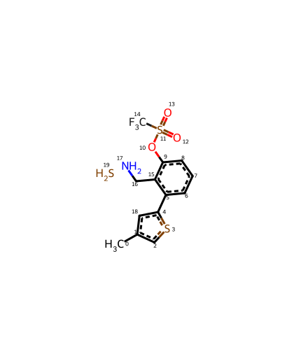 Cc1csc(-c2cccc(OS(=O)(=O)C(F)(F)F)c2CN)c1.S